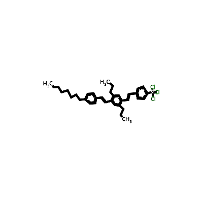 CCCCCCCCc1ccc(/C=C/c2cc(CCC)c(/C=C/c3ccc([Si](Cl)(Cl)Cl)cc3)cc2CCC)cc1